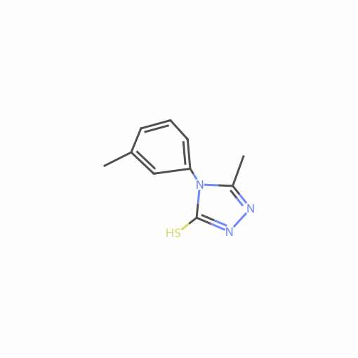 Cc1cccc(-n2c(C)nnc2S)c1